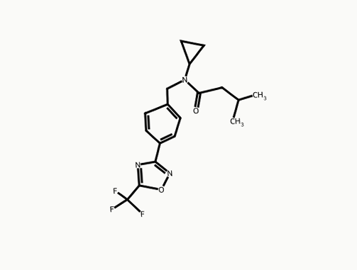 CC(C)CC(=O)N(Cc1ccc(-c2noc(C(F)(F)F)n2)cc1)C1CC1